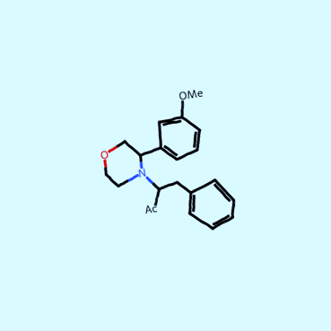 COc1cccc(C2COCCN2C(Cc2ccccc2)C(C)=O)c1